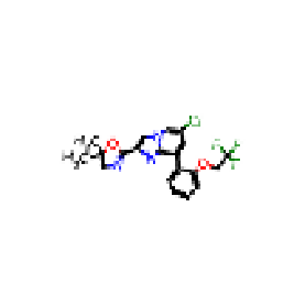 CC1(C)CN=C(c2cn3cc(Cl)cc(-c4ccccc4OCC(F)(F)F)c3n2)O1